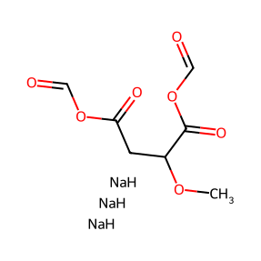 COC(CC(=O)OC=O)C(=O)OC=O.[NaH].[NaH].[NaH]